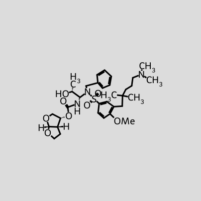 COc1ccc(S(=O)(=O)N(Cc2ccccc2)[C@H](NC(=O)O[C@H]2CO[C@H]3OCC[C@H]32)[C@@H](C)O)cc1CC(C)(C)CCCN(C)C